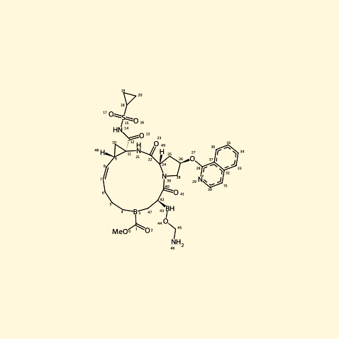 COC(=O)B1CCC/C=C\[C@@H]2C[C@@]2(C(=O)NS(=O)(=O)C2CC2)NC(=O)[C@@H]2C[C@@H](Oc3nccc4ccccc34)CN2C(=O)[C@@H](BOCN)C1